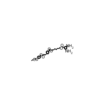 CCCCOc1ccc(OC(=O)C=Cc2ccc(C(=O)OCCCCCCCOC(=O)c3cc(N)cc(N)c3)cc2)cc1